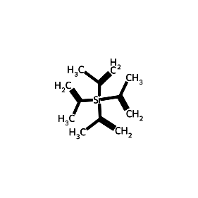 C=C(C)[Si](C(=C)C)(C(=C)C)C(=C)C